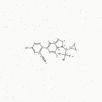 CC1=CC(c2ccc(F)cc2C#N)=NC2=CCN(C(C3CC3)C(F)(F)F)N12